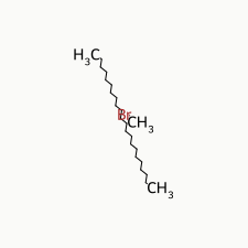 CBr.CCCCCCCCCCCCCCCCCCCCCC